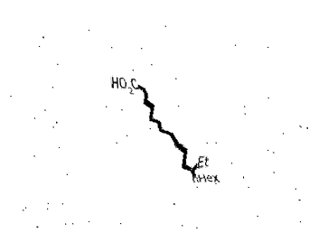 CCCCCCC(CC)CCCCCCCCCCC(=O)O